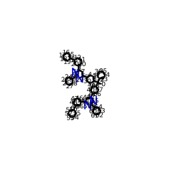 CC(C1=CC=C(c2cc(-c3cccc(-c4ccccc4)c3)nc(-c3ccccc3)n2)CC1)(c1ccccc1)c1ccc(-c2cc(-c3cccc(-c4ccccc4)c3)nc(-c3ccccc3)n2)cc1